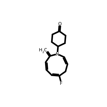 C=C1/C=C\C=C(\F)C/C=C\N1C1CCC(=O)CC1